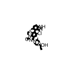 C=CC(O)N1CCN(c2nc(=O)n3c4c(c(-c5c(C)ccc6[nH]ncc56)c(Cl)cc24)SCC3)[C@@H](C)C1